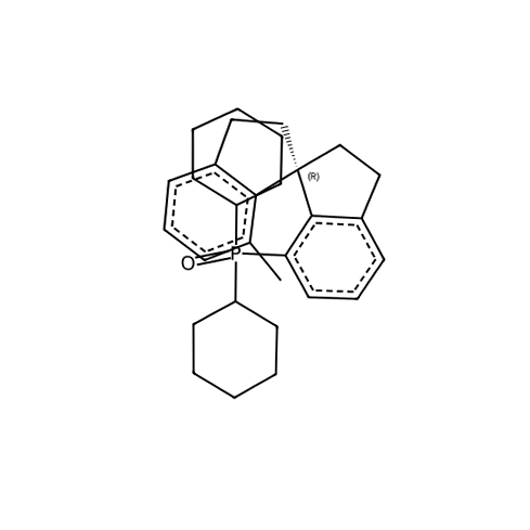 Cc1cccc2c1[C@@]1(CC2)CCc2cccc(P(=O)(C3CCCCC3)C3CCCCC3)c21